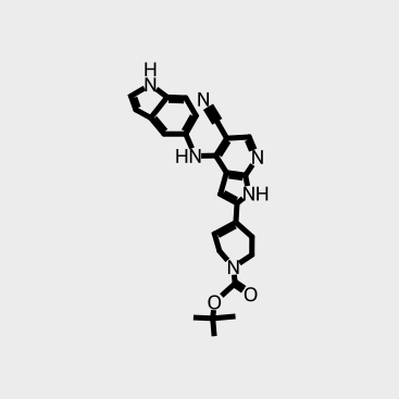 CC(C)(C)OC(=O)N1CC=C(c2cc3c(Nc4ccc5[nH]ccc5c4)c(C#N)cnc3[nH]2)CC1